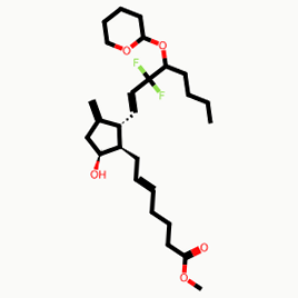 C=C1C[C@H](O)[C@H](C/C=C/CCCC(=O)OC)[C@H]1/C=C/C(F)(F)C(CCCC)OC1CCCCO1